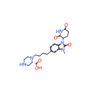 Cn1c(=O)n(C2CCC(=O)NC2=O)c2ccc(CCCCN3CCNC[C@H]3C(=O)O)cc21